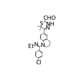 CCN=C(c1ccc(Cl)cc1)N1CCCc2cc(C3=NNC(C=O)SC3(C)C)ccc21